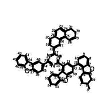 CC1C=Cc2c(oc3cccc(-c4cc(-c5nc(-c6ccc7ccc8c(c7c6)C=CCC8)nc(-c6ccc7oc8ccccc8c7c6)n5)c5c(c4)oc4ccccc45)c23)C1